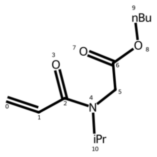 C=CC(=O)N(CC(=O)OCCCC)C(C)C